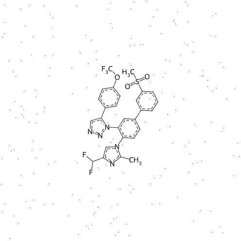 Cc1nc(C(F)F)cn1-c1ccc(-c2cccc(S(C)(=O)=O)c2)cc1-n1nncc1-c1ccc(OC(F)(F)F)cc1